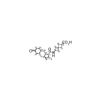 Cc1sc(C)c(C(=O)NC2CC3(C2)CC(C(=O)O)C3)c1Cc1ccc(Cl)cc1